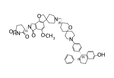 COc1cc2c(c3c1C(=O)N([C@H]1CCC(=O)NC1=O)C3)OCC21CCN(C[C@H]2CCC3(CCN(c4ccc([C@@H]5c6ccc(O)cc6CC[C@@H]5c5ccccc5)cc4)CC3)OC2)CC1